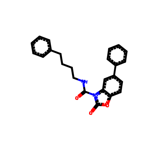 O=C(NCCCCc1ccccc1)n1c(=O)oc2ccc(-c3ccccc3)cc21